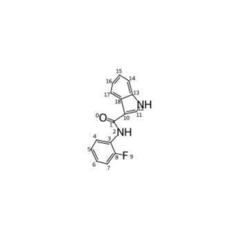 O=C(Nc1ccccc1F)c1c[nH]c2ccccc12